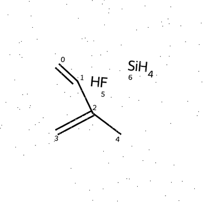 C=CC(=C)C.F.[SiH4]